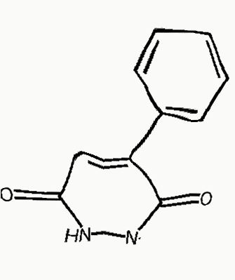 O=C1C=C(c2ccccc2)C(=O)[N]N1